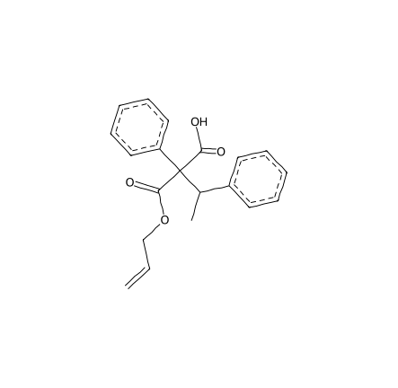 C=CCOC(=O)C(C(=O)O)(c1ccccc1)C(C)c1ccccc1